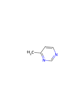 [CH2]c1ccncn1